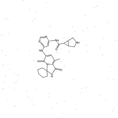 Cc1cc(Nc2cc(NC(=O)C3C4CNCC43)ncn2)c(=O)n2c1C(=O)NC21CCCCC1